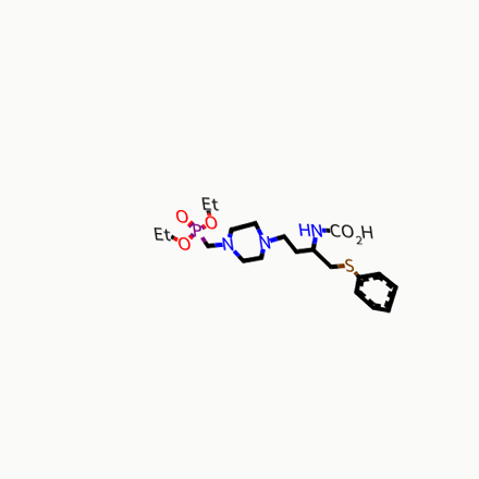 CCOP(=O)(CN1CCN(CCC(CSc2ccccc2)NC(=O)O)CC1)OCC